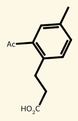 CC(=O)c1cc(C)ccc1CCC(=O)O